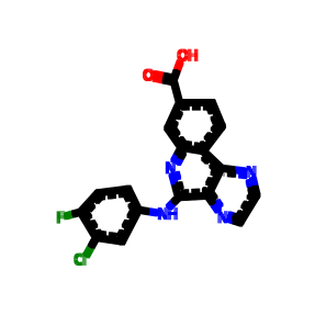 O=C(O)c1ccc2c(c1)nc(Nc1ccc(F)c(Cl)c1)c1nccnc12